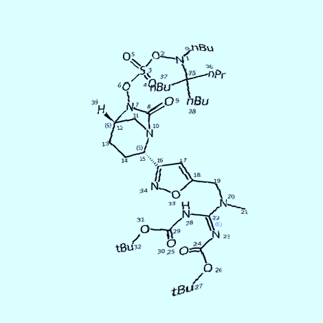 CCCCN(OS(=O)(=O)ON1C(=O)N2C[C@@H]1CC[C@H]2c1cc(CN(C)/C(=N/C(=O)OC(C)(C)C)NC(=O)OC(C)(C)C)on1)C(CCC)(CCCC)CCCC